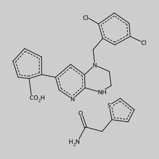 NC(=O)Cc1cccs1.O=C(O)c1ccccc1-c1cnc2c(c1)N(Cc1cc(Cl)ccc1Cl)CCN2